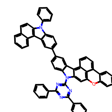 c1ccc(-c2nc(-c3ccccc3)nc(-n3c4ccc(-c5ccc6c(c5)c5c7ccccc7ccc5n6-c5ccccc5)cc4c4c5cccc6c5c(cc43)Oc3ccccc3-6)n2)cc1